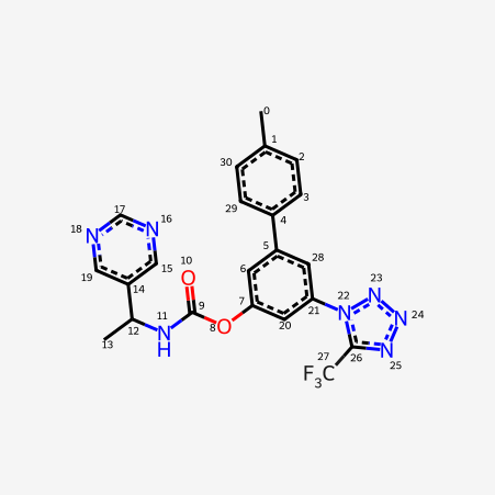 Cc1ccc(-c2cc(OC(=O)NC(C)c3cncnc3)cc(-n3nnnc3C(F)(F)F)c2)cc1